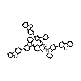 c1ccc2c(c1)oc1cc(-c3ccc4c(c3)c3ccccc3n4-c3ccc4nc(-n5c6ccccc6c6cc(-c7ccc8c(c7)oc7ccccc78)ccc65)nc(-n5c6ccccc6c6cc(-c7ccc8c(c7)oc7ccccc78)ccc65)c4c3)ccc12